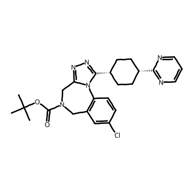 CC(C)(C)OC(=O)N1Cc2cc(Cl)ccc2-n2c(nnc2[C@H]2CC[C@@H](c3ncccn3)CC2)C1